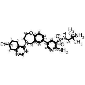 CC[C@H]1CCc2c(ncnc2N2CCOc3ccc(-c4cnc(N)c(S(=O)(=O)NCC(C)(C)N)c4)cc3C2)C1